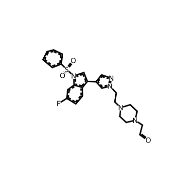 O=CCN1CCN(CCn2cc(-c3cn(S(=O)(=O)c4ccccc4)c4cc(F)ccc34)cn2)CC1